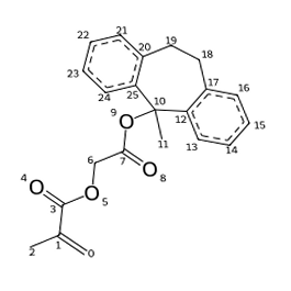 C=C(C)C(=O)OCC(=O)OC1(C)c2ccccc2CCc2ccccc21